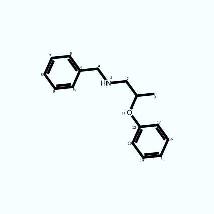 CC(CNCc1ccccc1)Oc1ccccc1